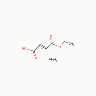 CCOC(=O)/C=C/C(=O)O.[MgH2]